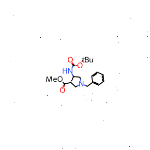 COC(=O)C1CN(Cc2ccccc2)CC1NC(=O)OC(C)(C)C